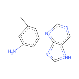 Cc1cccc(N)c1.c1ncc2[nH]cnc2n1